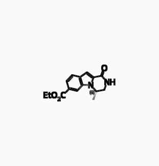 CCOC(=O)c1ccc2cc3n(c2c1)[C@@H](C)CNC3=O